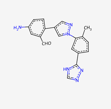 Cc1ccc(-c2nnc[nH]2)cc1-n1cc(-c2ccc(N)cc2C=O)cn1